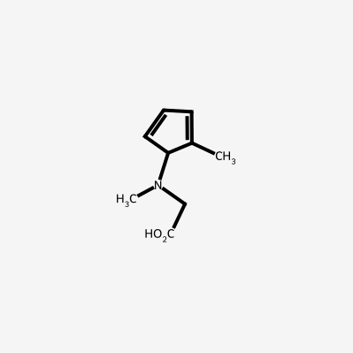 CC1=CC=CC1N(C)CC(=O)O